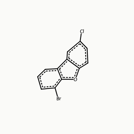 Clc1ccc2oc3c(Br)cccc3c2c1